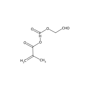 C=C(C)C(=O)O[PH](=O)OCC=O